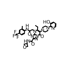 CCc1c(N2CCN(c3ncccc3O)CC2)c(=O)n2nc(C(=O)NC3COC3)nc2n1CC(=O)Nc1ccc(C(F)(F)F)cc1C